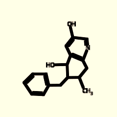 CC1Cc2ncc(O)cc2C(O)C1Cc1ccccc1